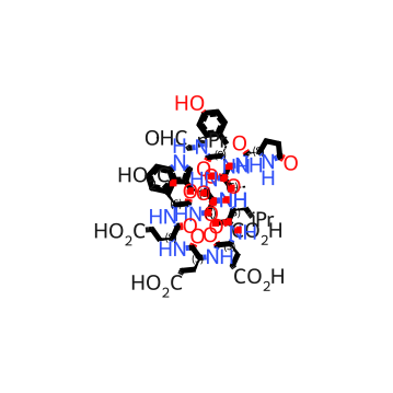 CCCN(C[C]=O)C(=O)[C@H](Cc1ccc(O)cc1)NC(=O)[C@H](C)NC(=O)[C@H](CCC(=O)O)NC(=O)[C@H](CCC(=O)O)NC(=O)[C@H](CCC(=O)O)NC(=O)[C@H](CCC(=O)O)NC(=O)[C@H](CCC(=O)O)NC(=O)[C@H](CC(C)C)NC(=O)[C@H](Cc1c[nH]c2ccccc12)NC(=O)CNC(=O)[C@@H]1CCC(=O)N1